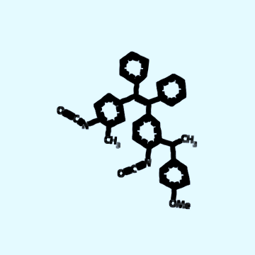 COc1ccc(C(C)c2cc(/C(=C(/c3ccccc3)c3ccc(N=C=O)c(C)c3)c3ccccc3)ccc2N=C=O)cc1